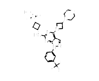 CS(=O)(=O)[C@H]1C[C@H](Nc2nc(N3CC(N4CCOCC4)C3)c3cnn(-c4cccc(C(F)(F)F)c4)c3n2)C1